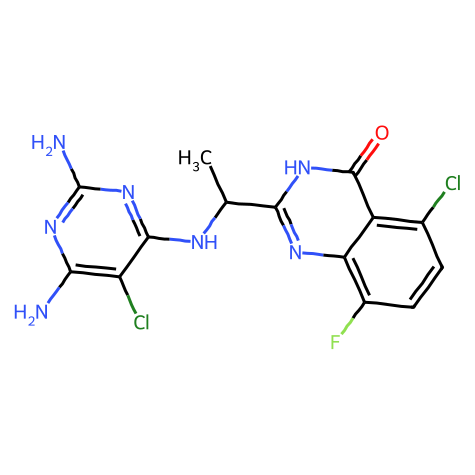 CC(Nc1nc(N)nc(N)c1Cl)c1nc2c(F)ccc(Cl)c2c(=O)[nH]1